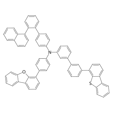 c1cc(-c2cccc(N(c3ccc(-c4ccccc4-c4cccc5ccccc45)cc3)c3ccc(-c4cccc5c4oc4ccccc45)cc3)c2)cc(-c2cccc3c2sc2ccccc23)c1